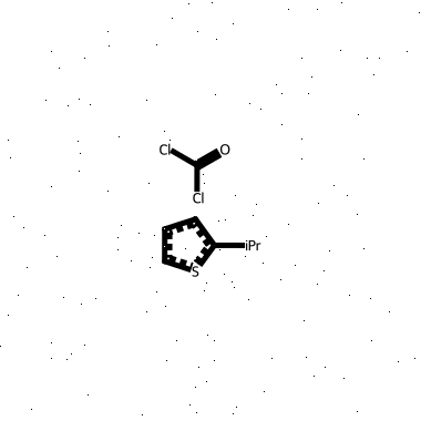 CC(C)c1cccs1.O=C(Cl)Cl